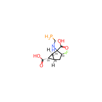 O=C(O)[C@H]1[C@@H]2C[C@H](F)[C@@](NCP)(C(=O)O)[C@@H]21